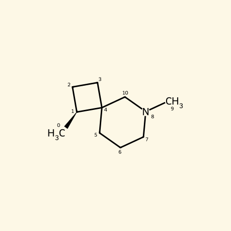 C[C@H]1CCC12CCCN(C)C2